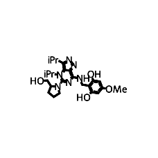 COc1cc(O)c(CNc2nc(N3CCCC3CO)n(C(C)C)c3c(C(C)C)nnc2-3)c(O)c1